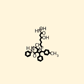 Cc1ccc(-c2c(-c3ccccc3)c(C(=O)Nc3ccccc3)c(C(C)C)n2CCCCC(O)CC(=O)NO)cc1